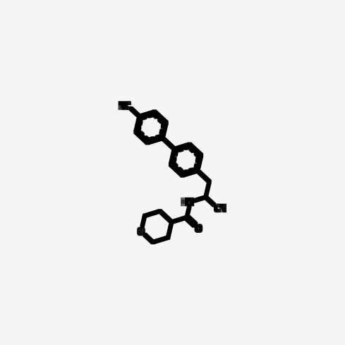 N#Cc1ccc(-c2ccc(CC(C#N)NC(=O)C3CCOCC3)cc2)cc1